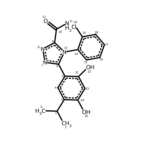 CC(C)c1cc(-c2nnc(C(N)=O)n2-c2ccccc2Cl)c(O)cc1O